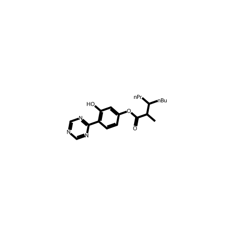 CCCCC(CCC)C(C)C(=O)Oc1ccc(-c2ncncn2)c(O)c1